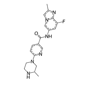 Cc1cn2cc(NC(=O)c3ccc(N4CCNC(C)C4)nc3)cc(F)c2n1